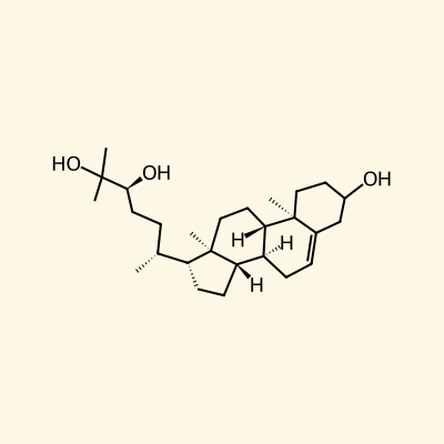 C[C@H](CC[C@H](O)C(C)(C)O)[C@H]1CC[C@H]2[C@@H]3CC=C4CC(O)CC[C@]4(C)[C@H]3CC[C@]12C